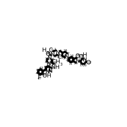 C[C@@H]1CN(CC2CCN(c3ccc4c(c3)C(=O)N([C@@H]3CCC(=O)NC3=O)C4)CC2)[C@@H](C)CN1C(=O)N1CCN2c3cc(-c4cccc(F)c4O)nnc3NC[C@]2(C)C1